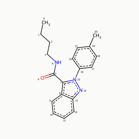 CCCCNC(=O)c1c2ccccc2nn1-c1ccc(C)cc1